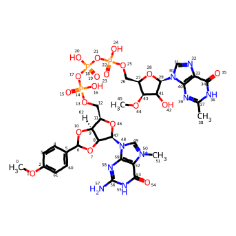 COc1ccc(C2OC3[C@@H](O2)[C@@H](COP(=O)(O)OP(=O)(O)OP(=O)(O)OC[C@H]2O[C@@H](n4cnc5c(=O)[nH]c(C)nc54)C(O)[C@H]2OC)O[C@H]3n2c[n+](C)c3c(=O)[nH]c(N)nc32)cc1